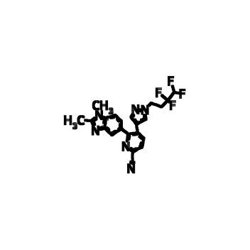 Cc1nc2cc(-c3nc(C#N)ccc3-c3cnn(CCC(F)(F)C(F)F)c3)ccc2n1C